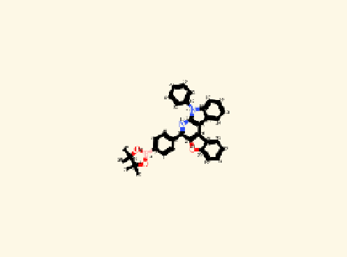 CC1(C)OB(c2ccc(-c3nc4c(c5ccccc5n4-c4ccccc4)c4c3oc3ccccc34)cc2)OC1(C)C